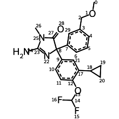 COCc1cccc(C2(c3ccc(OC(F)F)c(C4CC4)c3)N=C(N)N(C)C2=O)c1